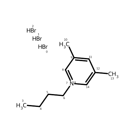 Br.Br.Br.CCCC[n+]1cc(C)cc(C)c1